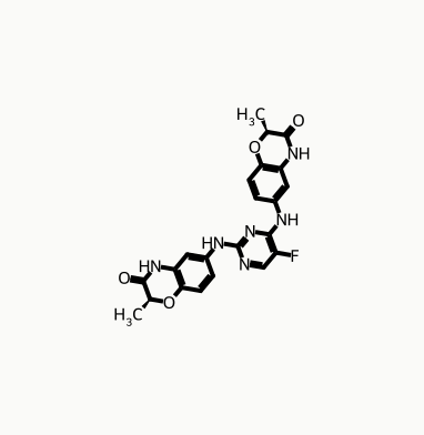 C[C@@H]1Oc2ccc(Nc3ncc(F)c(Nc4ccc5c(c4)NC(=O)[C@H](C)O5)n3)cc2NC1=O